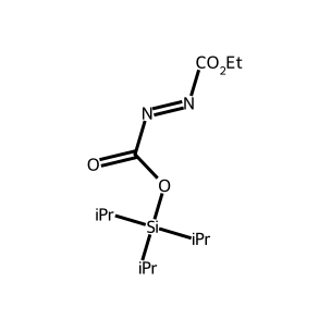 CCOC(=O)/N=N/C(=O)O[Si](C(C)C)(C(C)C)C(C)C